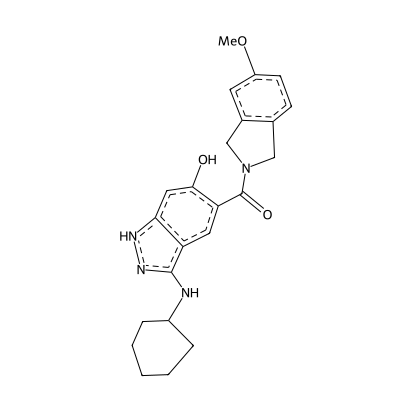 COc1ccc2c(c1)CN(C(=O)c1cc3c(NC4CCCCC4)n[nH]c3cc1O)C2